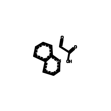 O=CC(=O)O.c1ccc2ncccc2c1